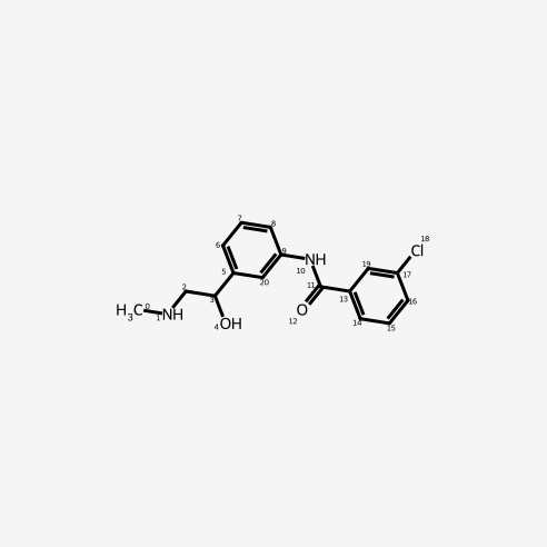 CNCC(O)c1cccc(NC(=O)c2cccc(Cl)c2)c1